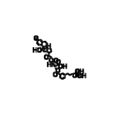 C[C@]12C[C@H](O)C3(F)[C@@H](CCC4=CC(=O)C=C[C@@]43C)C1CCC2C(=O)COC(=O)NC(COC(=O)c1cccc(CCCON(O)O)c1)C(=O)O